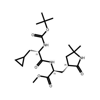 COC(=O)[C@H](C[C@@H]1CC(C)(C)NC1=O)NC(=O)[C@H](CC1CC1)NC(=O)OC(C)(C)C